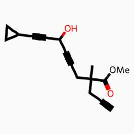 C#CCC(C)(CC#CC(O)C#CC1CC1)C(=O)OC